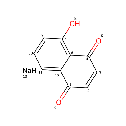 O=C1C=CC(=O)c2c(O)cccc21.[NaH]